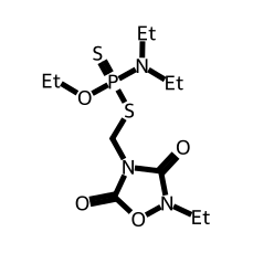 CCOP(=S)(SCn1c(=O)on(CC)c1=O)N(CC)CC